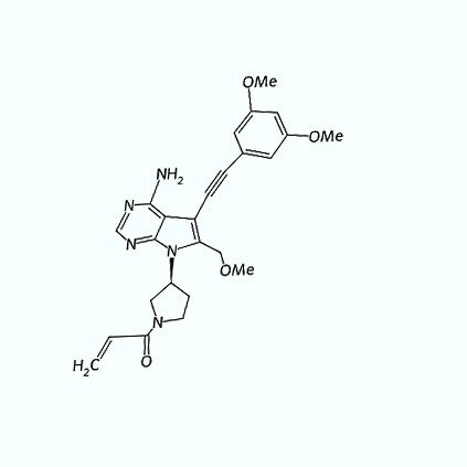 C=CC(=O)N1CC[C@H](n2c(COC)c(C#Cc3cc(OC)cc(OC)c3)c3c(N)ncnc32)C1